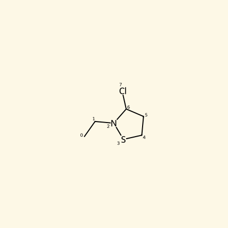 CCN1SCCC1Cl